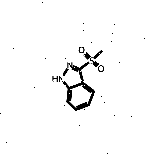 CS(=O)(=O)c1n[nH]c2ccccc12